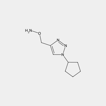 NOCc1cn(C2CCCC2)nn1